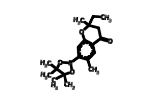 CCC1(C)CC(=O)c2cc(C)c(B3OC(C)(C)C(C)(C)O3)cc2O1